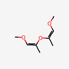 CO/C=C(/C)O/C(C)=C\OC